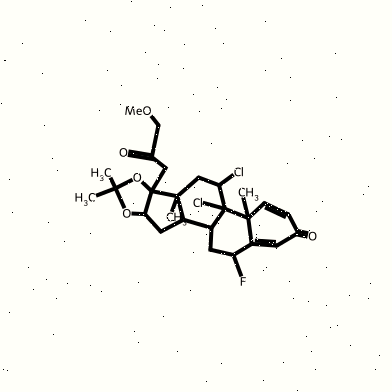 COCC(=O)CC12OC(C)(C)OC1CC1C3CC(F)C4=CC(=O)C=CC4(C)C3(Cl)C(Cl)CC12C